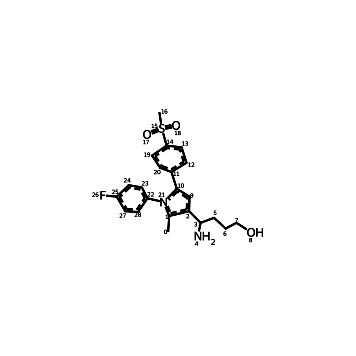 Cc1c(C(N)CCCO)cc(-c2ccc(S(C)(=O)=O)cc2)n1-c1ccc(F)cc1